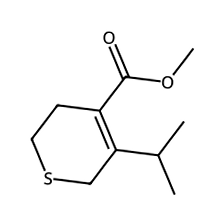 COC(=O)C1=C(C(C)C)CSCC1